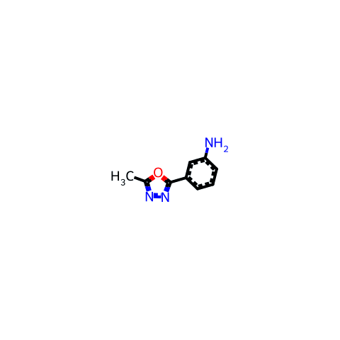 Cc1nnc(-c2cccc(N)c2)o1